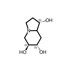 O[C@H]1CCN2C[C@H](O)[C@@H](O)CC12